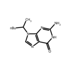 CCCCC(C)n1cnc2c(=O)[nH]c(N)nc21